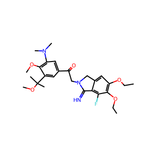 CCOc1cc2c(c(F)c1OCC)C(=N)N(CC(=O)c1cc(N(C)C)c(OC)c(C(C)(C)OC)c1)C2